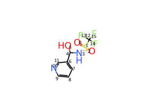 O=S(=O)(NC(O)c1cccnc1)C(F)(F)F